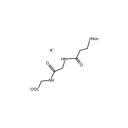 CCCCCCCCCCCC(=O)NCC(=O)NCC(=O)[O-].[K+]